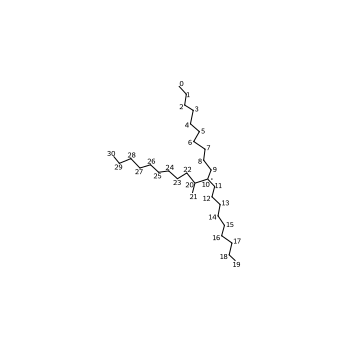 CCCCCCCCCC[C](CCCCCCCCC)C(C)CCCCCCCCC